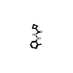 Cc1ccccc1NNC(=O)C1CCC1